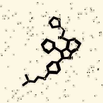 CN(C)CCOc1ccc(-c2[nH]c3ncnc(NC[C@@H]4CCCO4)c3c2-c2ccccc2)cc1